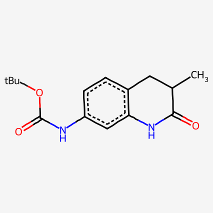 CC1Cc2ccc(NC(=O)OC(C)(C)C)cc2NC1=O